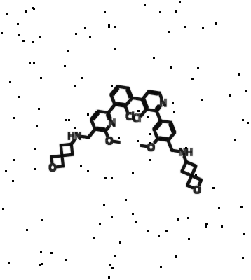 COc1cc(-c2nccc(-c3cccc(-c4ccc(CNC5CC6(COC6)C5)c(OC)n4)c3Cl)c2Cl)ccc1CNC1CC2(COC2)C1